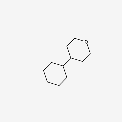 C1CCC(C2CCOCC2)CC1